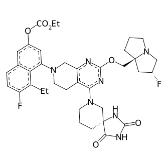 CCOC(=O)Oc1cc(N2CCc3c(nc(OC[C@@]45CCCN4C[C@H](F)C5)nc3N3CCC[C@]4(C3)NC(=O)NC4=O)C2)c2c(CC)c(F)ccc2c1